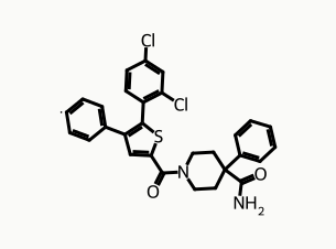 NC(=O)C1(c2ccccc2)CCN(C(=O)c2cc(-c3cc[c]cc3)c(-c3ccc(Cl)cc3Cl)s2)CC1